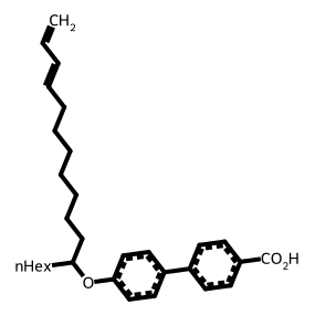 C=C/C=C/CCCCCCCC(CCCCCC)Oc1ccc(-c2ccc(C(=O)O)cc2)cc1